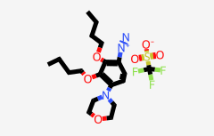 CCCCOc1c([N+]#N)ccc(N2CCOCC2)c1OCCCC.O=S(=O)([O-])C(F)(F)F